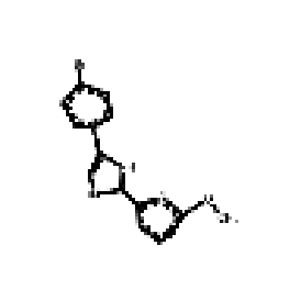 COc1cccc(C2NC=C(c3ccc(Br)cc3)N2)n1